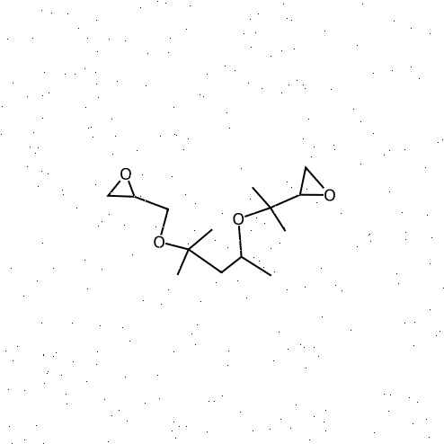 CC(CC(C)(C)OCC1CO1)OC(C)(C)C1CO1